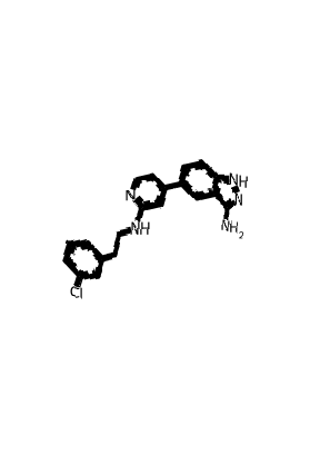 Nc1n[nH]c2ccc(-c3ccnc(NCCc4cccc(Cl)c4)c3)cc12